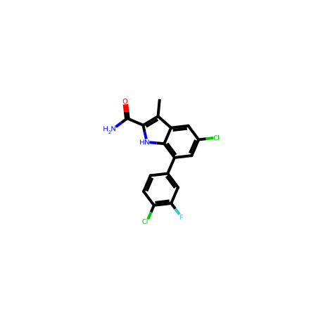 Cc1c(C(N)=O)[nH]c2c(-c3ccc(Cl)c(F)c3)cc(Cl)cc12